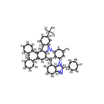 Cc1cc2c3c(c1)-n1c4cc(C(C)(C)C)ccc4c4c5c6ccccc6c6ccccc6c5cc(c41)B3c1cccc3nc(-c4ccccc4)n-2c13